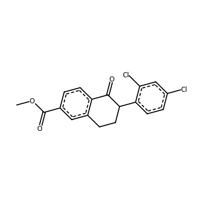 COC(=O)c1ccc2c(c1)CCC(c1ccc(Cl)cc1Cl)C2=O